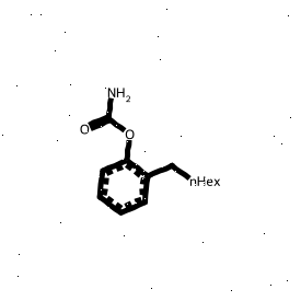 CCCCCCCc1ccccc1OC(N)=O